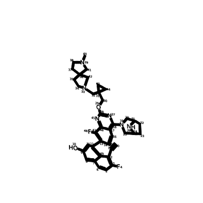 C#Cc1c(F)ccc2cc(O)cc(-c3c(F)cc4c(N5CC6CCC(C5)N6)nc(OCC5(CN6CCC7(CCN(C)C7)C6)CC5)nc4c3F)c12